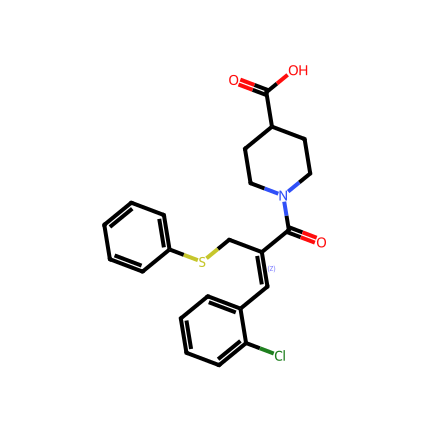 O=C(O)C1CCN(C(=O)/C(=C/c2ccccc2Cl)CSc2ccccc2)CC1